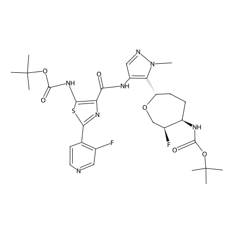 Cn1ncc(NC(=O)c2nc(-c3ccncc3F)sc2NC(=O)OC(C)(C)C)c1[C@@H]1CC[C@@H](NC(=O)OC(C)(C)C)[C@@H](F)CO1